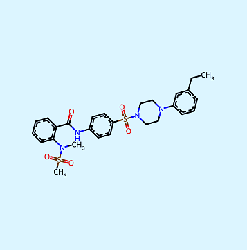 CCc1cccc(N2CCN(S(=O)(=O)c3ccc(NC(=O)c4ccccc4N(C)S(C)(=O)=O)cc3)CC2)c1